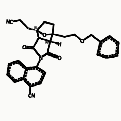 N#CCC[C@]12CCC(CCOCc3ccccc3)(O1)[C@@H]1C(=O)N(c3ccc(C#N)c4ccccc34)C(=O)C12